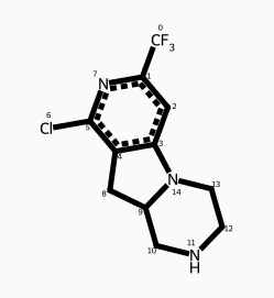 FC(F)(F)c1cc2c(c(Cl)n1)CC1CNCCN21